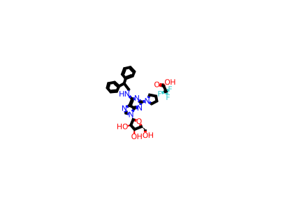 O=C(O)C(F)(F)F.OC[C@H]1O[C@@H](n2cnc3c(NCC(c4ccccc4)c4ccccc4)nc(N4CCCC4)nc32)[C@H](O)[C@@H]1O